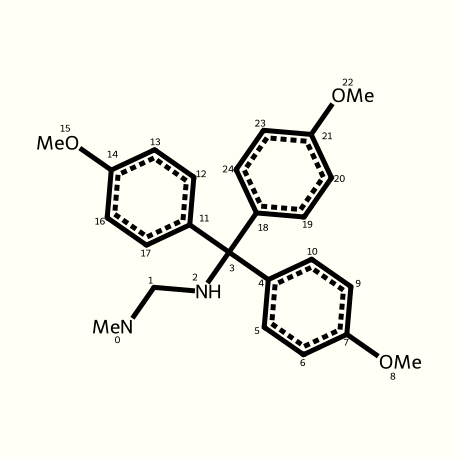 CNCNC(c1ccc(OC)cc1)(c1ccc(OC)cc1)c1ccc(OC)cc1